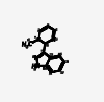 CN1C=CC=NC1c1n[nH]c2ccccc12